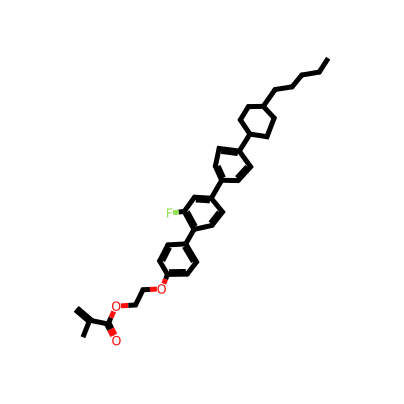 C=C(C)C(=O)OCCOc1ccc(-c2ccc(-c3ccc(C4CCC(CCCCC)CC4)cc3)cc2F)cc1